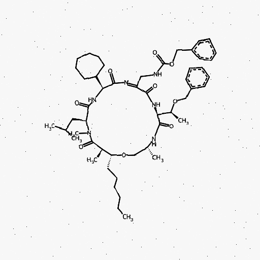 CCCCCC[C@H]1OC[C@@H](C)NC(=O)[C@H]([C@H](C)OCc2ccccc2)NC(=O)/C(CNC(=O)OCc2ccccc2)=N\C(=O)[C@H](C2CCCCCC2)NC(=O)[C@H](CC(C)C)N(C)C(=O)[C@@H]1C